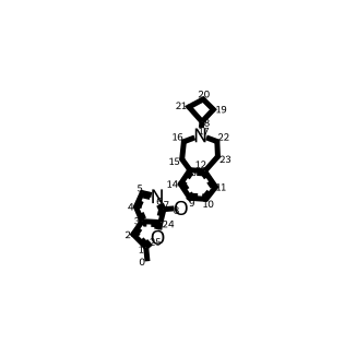 Cc1cc2ccnc(Oc3ccc4c(c3)CCN(C3CCC3)CC4)c2o1